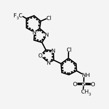 CS(=O)(=O)Nc1ccc(-c2noc(-c3cn4cc(C(F)(F)F)cc(Cl)c4n3)n2)c(Cl)c1